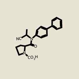 CC(C#N)N(C(=O)C1CCCN1C(=O)O)c1ccc(-c2ccccc2)cc1